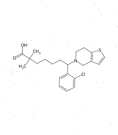 CC(C)(CCCCC(c1ccccc1Cl)N1CCc2sccc2C1)C(=O)O